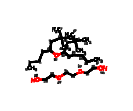 CCCCC(CC(C)(C)C)OC(CCCC)CC(C)(C)C.OCCOCCOCCO